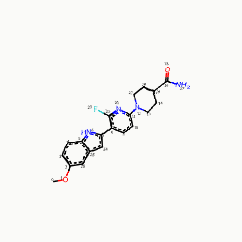 COc1ccc2[nH]c(-c3ccc(N4CCC(C(N)=O)CC4)nc3F)cc2c1